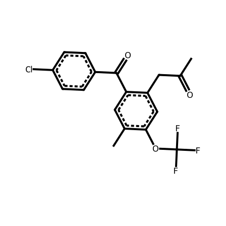 CC(=O)Cc1cc(OC(F)(F)F)c(C)cc1C(=O)c1ccc(Cl)cc1